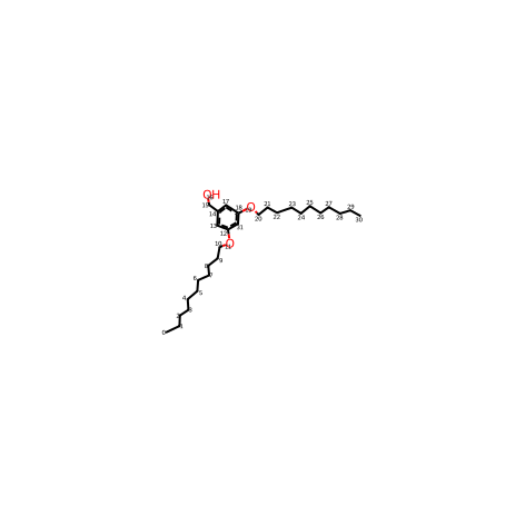 CCCCCCCCCCCOc1cc(CO)cc(OCCCCCCCCCCC)c1